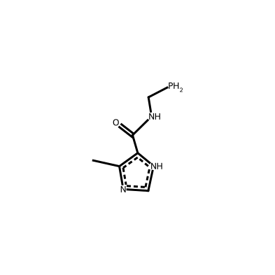 Cc1nc[nH]c1C(=O)NCP